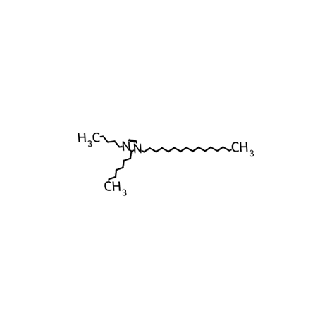 CCCCCCCCCCCCCCCCN1C=CN(CCCCC)C1CCCCCCC